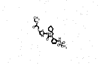 CCOC(=O)CSc1cnc(NC(=O)N(CC2CCCC2)c2cccc(NS(C)(=O)=O)c2)s1